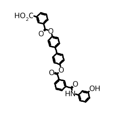 O=C(O)c1cccc(C(=O)Oc2ccc(-c3ccc(OC(=O)c4cccc(C(=O)Nc5cccc(O)c5)c4)cc3)cc2)c1